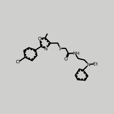 CCN(CCNC(=O)CSCc1nc(-c2ccc(Cl)cc2)oc1C)c1ccccc1